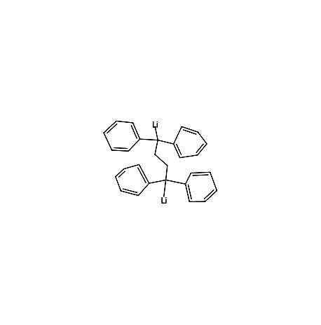 [Li][C](CC[C]([Li])(c1ccccc1)c1ccccc1)(c1ccccc1)c1ccccc1